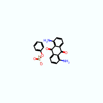 Nc1cccc2c1C(=O)c1cccc(N)c1C2=O.O=[SH](=O)Oc1ccccc1